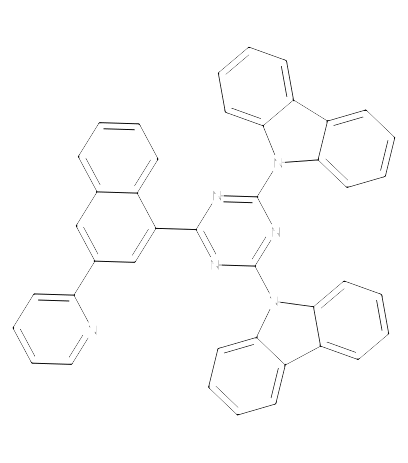 c1ccc(-c2cc(-c3nc(-n4c5ccccc5c5ccccc54)nc(-n4c5ccccc5c5ccccc54)n3)c3ccccc3c2)nc1